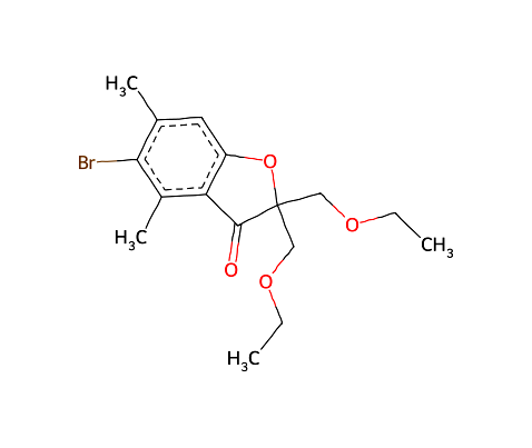 CCOCC1(COCC)Oc2cc(C)c(Br)c(C)c2C1=O